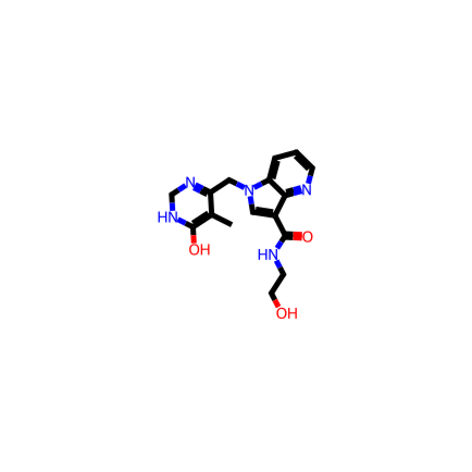 CC1=C(O)NCN=C1Cn1cc(C(=O)NCCO)c2ncccc21